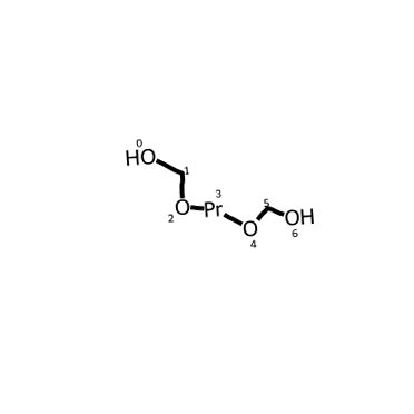 OC[O][Pr][O]CO